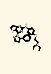 CCN(CC)CCOc1ccc(Nc2nc(N3N=CCC3c3ccccc3)c3sccc3n2)cc1